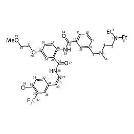 CCN(CC)CCN(C)Cc1cccc(C(=O)Nc2ccc(OCCOC)cc2C(=O)N/N=C\c2ccc(Cl)c(C(F)(F)F)c2)c1